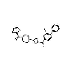 O=C(c1ccc(-c2ccccc2)c(F)c1)N1CC(N2CCN(C(=O)c3nccs3)CC2)C1